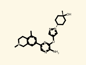 Cc1cc(-c2cnc(N)c(Oc3cnn([C@H]4CC[C@@](C)(O)CC4)c3)n2)cc2c1CCN(C)C2